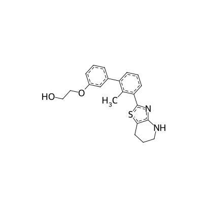 Cc1c(-c2cccc(OCCO)c2)cccc1-c1nc2c(s1)CCCN2